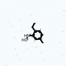 CCc1ccc(C)cc1NO